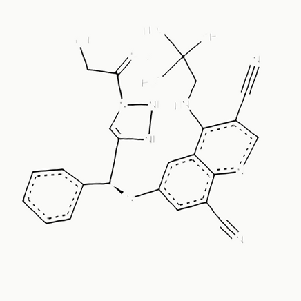 C=C(CC)N1C=C([C@@H](Nc2cc(C#N)c3ncc(C#N)c(NCC(C)(C)C)c3c2)c2ccccc2)NN1